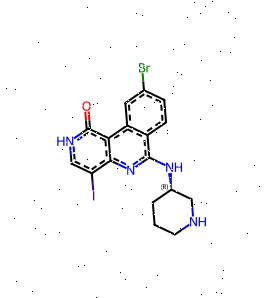 O=c1[nH]cc(I)c2nc(N[C@@H]3CCCNC3)c3ccc(Br)cc3c12